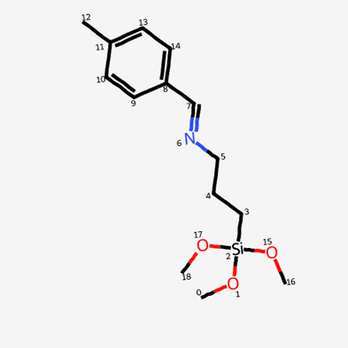 CO[Si](CCCN=Cc1ccc(C)cc1)(OC)OC